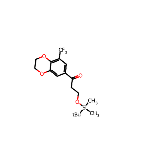 CC(C)(C)[Si](C)(C)OCCC(=O)c1cc2c(c(C(F)(F)F)c1)OCCO2